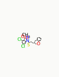 COC(=O)c1c(Cl)cc(Cl)cc1NC(=S)CCC1COc2ccccc2C1